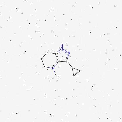 CC(C)N1CCCc2[nH]nc(C3CC3)c21